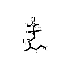 CC(CCCl)[SiH2]CC(C)(C)[Si](C)(C)Cl